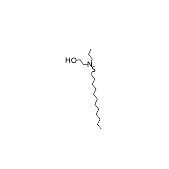 CCCCCCCCCCCCSN(CCC)CCO